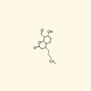 CCCCc1cc(=O)oc2c(C=O)c(O)ccc12